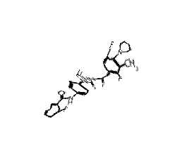 Cc1c(F)c(C(F)NC(=S)Nc2ccc(NC(=O)c3ccccc3F)cc2)cc(F)c1N1CCCCC1